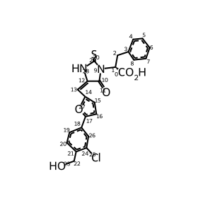 O=C(O)[C@H](Cc1ccccc1)N1C(=O)/C(=C\c2ccc(-c3ccc(CO)c(Cl)c3)o2)NC1=S